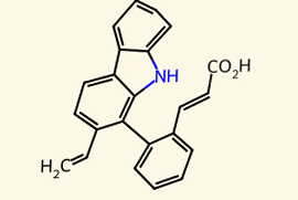 C=Cc1ccc2c([nH]c3ccccc32)c1-c1ccccc1C=CC(=O)O